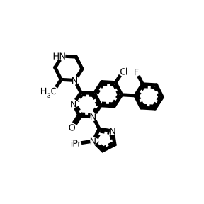 CC1CNCCN1c1nc(=O)n(-c2nccn2C(C)C)c2cc(-c3ccccc3F)c(Cl)cc12